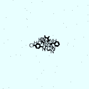 CC(=N)/C(C)=C(\O)NC(=O)c1ccccc1-n1cnc(Cn2nc(-c3ccc(Cl)cc3)n(C[C@H](O)C(F)(F)F)c2=O)n1